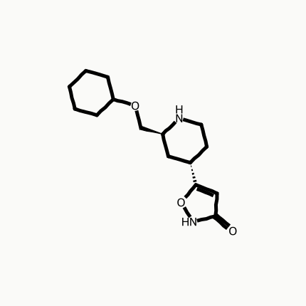 O=c1cc([C@H]2CCN[C@H](COC3CCCCC3)C2)o[nH]1